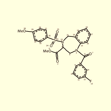 COC(=O)C1CN(C(=O)c2cccc(F)c2)c2ccccc2CN1S(=O)(=O)c1ccc(OC)cc1